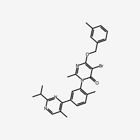 Cc1cccc(COc2nc(C)n(-c3cc(-c4nc(C(C)C)ncc4C)ccc3C)c(=O)c2Br)c1